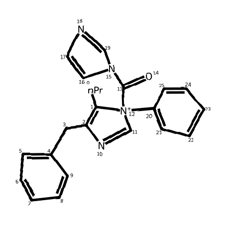 CCCC1=C(Cc2ccccc2)N=C[N+]1(C(=O)n1ccnc1)c1ccccc1